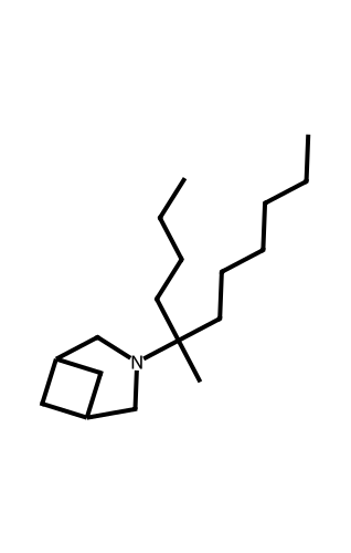 CCCCCCC(C)(CCCC)N1CC2CC(C2)C1